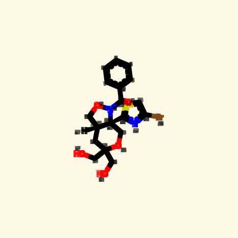 O=C(c1ccccc1)N1OC[C@H]2CC(CO)(CO)OC[C@]21c1nc(Br)cs1